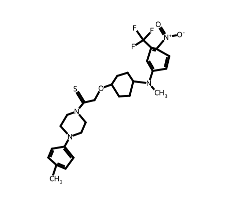 Cc1ccc(N2CCN(C(=S)COC3CCC(N(C)c4ccc([N+](=O)[O-])c(C(F)(F)F)c4)CC3)CC2)cc1